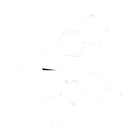 CCOc1cc([C@H](CS(C)(=O)=O)n2c(=O)n(CC(F)(F)F)c3cc(Cl)ccc32)ccc1OC